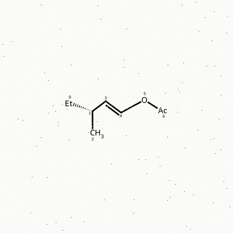 CC[C@@H](C)C=COC(C)=O